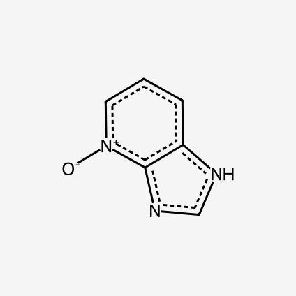 [O-][n+]1cccc2[nH]cnc21